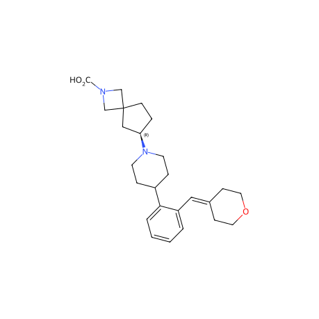 O=C(O)N1CC2(CC[C@@H](N3CCC(c4ccccc4C=C4CCOCC4)CC3)C2)C1